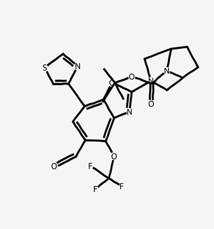 CC(C)(C)OC(=O)N1C2CCC1CN(c1nc3c(OC(F)(F)F)c(C=O)cc(-c4cscn4)c3o1)C2